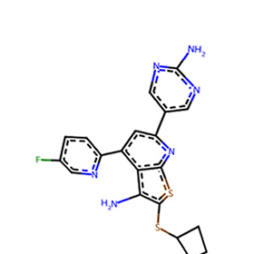 Nc1ncc(-c2cc(-c3ccc(F)cn3)c3c(N)c(SC4CCC4)sc3n2)cn1